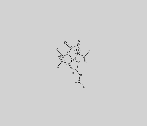 C=C(C)C(=O)C(CC)[Si](CCCOC)(C(=O)C(=C)C)C(=O)C(=C)C